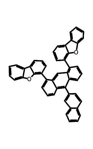 c1ccc2cc(-c3c4cccc(-c5cccc6c5oc5ccccc56)c4cc4c(-c5cccc6c5oc5ccccc56)cccc34)ccc2c1